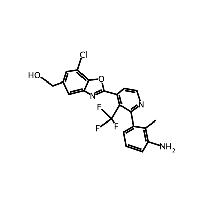 Cc1c(N)cccc1-c1nccc(-c2nc3cc(CO)cc(Cl)c3o2)c1C(F)(F)F